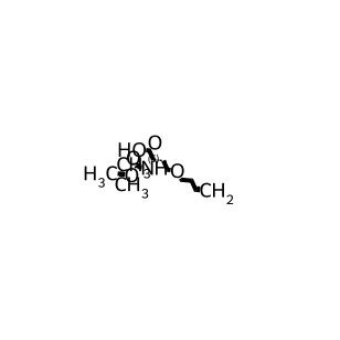 C=CCCOCC[C@H](NC(=O)OC(C)(C)C)C(=O)O